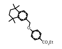 CCOC(=O)c1ccc(OCc2ccc3c(c2)C(C)(C)CCC3(C)C)cc1